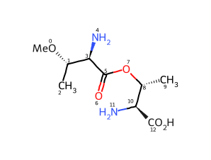 CO[C@@H](C)[C@@H](N)C(=O)O[C@H](C)[C@H](N)C(=O)O